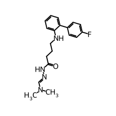 CN(C)/C=N/NC(=O)CCCNc1ccccc1-c1ccc(F)cc1